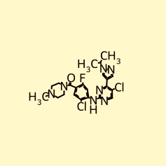 CC(C)n1cc(-c2nc(Nc3cc(F)c(C(=O)N4CCN(C)CC4)cc3Cl)ncc2Cl)cn1